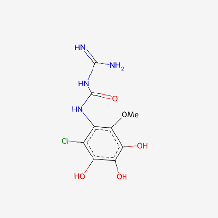 COc1c(O)c(O)c(O)c(Cl)c1NC(=O)NC(=N)N